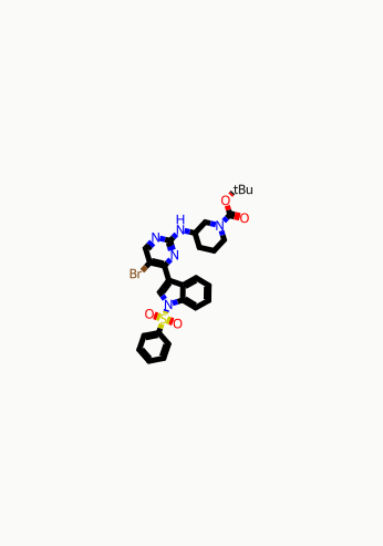 CC(C)(C)OC(=O)N1CCCC(Nc2ncc(Br)c(-c3cn(S(=O)(=O)c4ccccc4)c4ccccc34)n2)C1